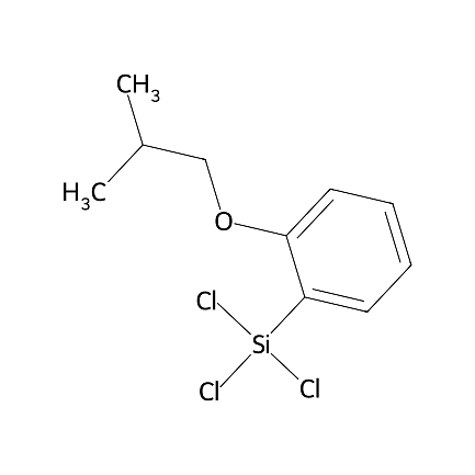 CC(C)COc1ccccc1[Si](Cl)(Cl)Cl